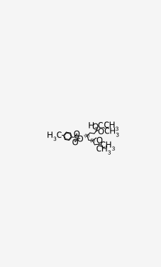 Cc1ccc(S(=O)(=O)OC[C@H](CCC(=O)OC(C)(C)C)C[C@H]2COC(C)(C)C2)cc1